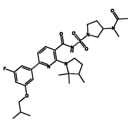 CC(=O)N(C)C1CCN(S(=O)(=O)NC(=O)c2ccc(-c3cc(F)cc(OCC(C)C)c3)nc2N2CCC(C)C2(C)C)C1